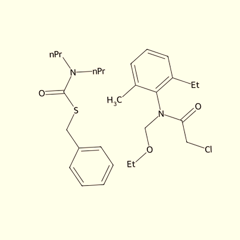 CCCN(CCC)C(=O)SCc1ccccc1.CCOCN(C(=O)CCl)c1c(C)cccc1CC